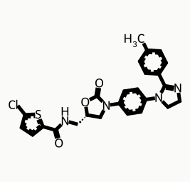 Cc1ccc(C2=NCCN2c2ccc(N3C[C@H](CNC(=O)c4ccc(Cl)s4)OC3=O)cc2)cc1